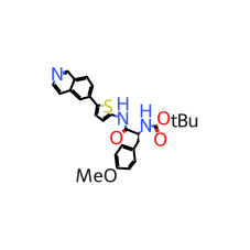 COc1ccc(C[C@H](NC(=O)OC(C)(C)C)C(=O)Nc2ccc(-c3ccc4cnccc4c3)s2)cc1